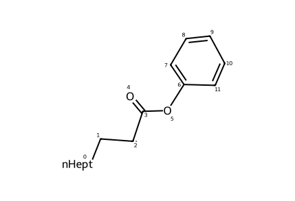 CCCCCCCC[CH]C(=O)Oc1ccccc1